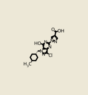 C[C@H]1CC[C@H](Cn2nc(Cl)c3nc(-n4cc(C(=O)O)cn4)nc(O)c32)CC1